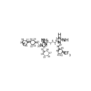 N=C1NC[C@H](CCCCN2C[C@H](CC3CCCCC3)N(CCc3ccc(-c4ccccc4)cc3)C2=N)N1CCc1cccc(C(F)(F)F)c1